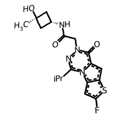 CC(C)c1nn(CC(=O)N[C@H]2C[C@](C)(O)C2)c(=O)c2cc3sc(F)cc3n12